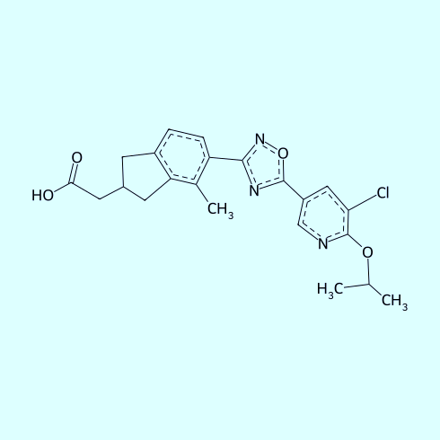 Cc1c(-c2noc(-c3cnc(OC(C)C)c(Cl)c3)n2)ccc2c1CC(CC(=O)O)C2